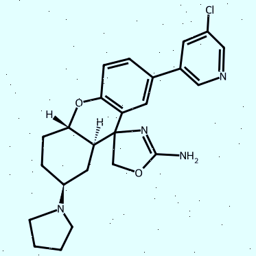 NC1=NC2(CO1)c1cc(-c3cncc(Cl)c3)ccc1O[C@H]1CC[C@H](N3CCCC3)C[C@@H]12